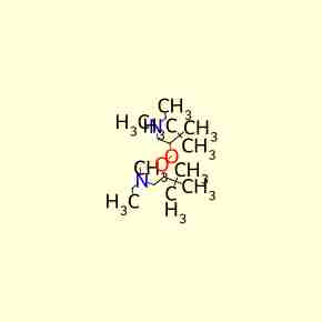 CCN(C)CC(OOC(CN(C)CC)C(C)(C)C)C(C)(C)C